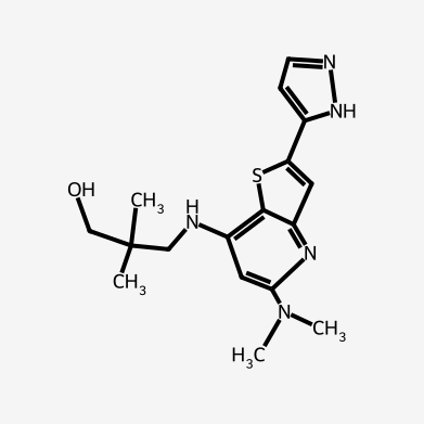 CN(C)c1cc(NCC(C)(C)CO)c2sc(-c3ccn[nH]3)cc2n1